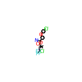 CC1(C)[C@H](C(=O)O[C@@H](C#N)c2cccc(Oc3ccc(Cl)cc3)c2)[C@@H]1/C=C(\Cl)C(F)(F)F